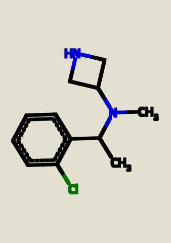 CC(c1ccccc1Cl)N(C)C1CNC1